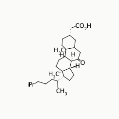 CC(C)CCCC(C)[C@H]1CC[C@H]2[C@@H]3C(=O)CC4C[C@@H](CC(=O)O)CC[C@]4(C)[C@H]3CC[C@]12C